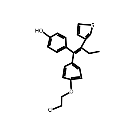 CCC(=C(c1ccc(O)cc1)c1ccc(OCCCl)cc1)c1ccsc1